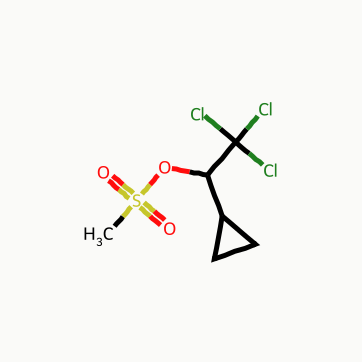 CS(=O)(=O)OC(C1CC1)C(Cl)(Cl)Cl